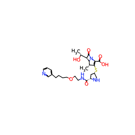 C[C@H]1C(S[C@@H]2CN[C@H](C(=O)NCCOCCCCc3cccnc3)C2)=C(C(=O)O)N2C(=O)[C@H]([C@@H](C)O)C12